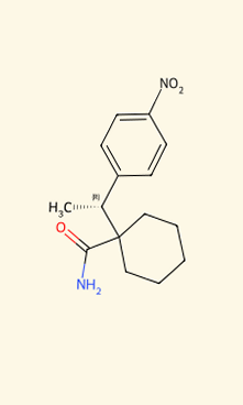 C[C@H](c1ccc([N+](=O)[O-])cc1)C1(C(N)=O)CCCCC1